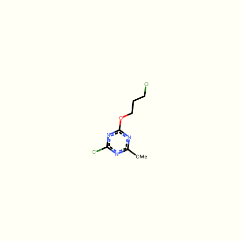 COc1nc(Cl)nc(OCCCCl)n1